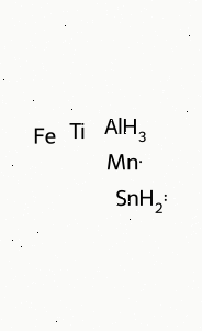 [AlH3].[Fe].[Mn].[SnH2].[Ti]